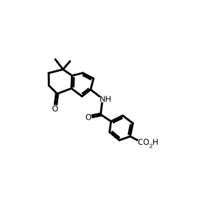 CC1(C)CCC(=O)c2cc(NC(=O)c3ccc(C(=O)O)cc3)ccc21